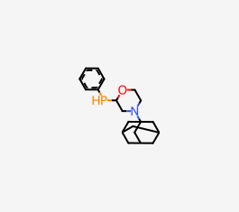 c1ccc(PC2CN(C34CC5CC(CC(C5)C3)C4)CCO2)cc1